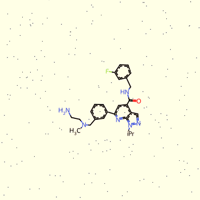 CC(C)n1ncc2c(C(=O)NCc3cccc(F)c3)cc(-c3cccc(CN(C)CCN)c3)nc21